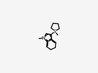 Cn1cc(S2(C)CCCC2)c2c1=CCCC=2